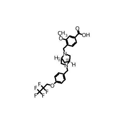 COc1cc(C(=O)O)ccc1CN1C[C@@H]2C[C@H]1CN2Cc1ccc(OCC(F)(F)C(F)(F)F)cc1